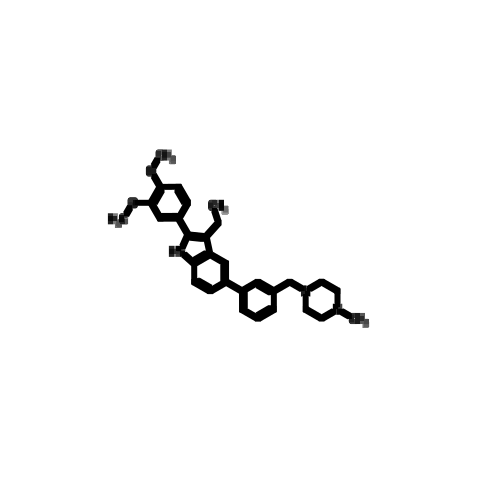 CCc1c(-c2ccc(OC)c(OC)c2)[nH]c2ccc(-c3cccc(CN4CCN(C)CC4)c3)cc12